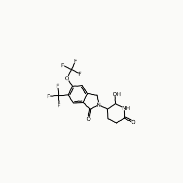 O=C1CCC(N2Cc3cc(OC(F)(F)F)c(C(F)(F)F)cc3C2=O)C(O)N1